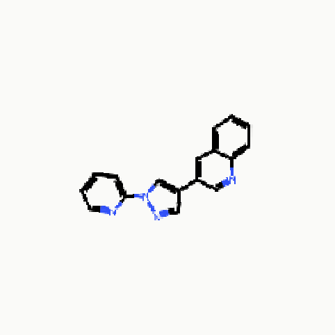 c1ccc(-n2cc(-c3cnc4ccccc4c3)cn2)nc1